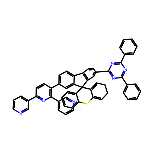 C1=C2Sc3ccccc3C3(C2=CCC1)c1cc(-c2nc(-c4ccccc4)nc(-c4ccccc4)n2)ccc1-c1ccc(-c2ccc(-c4cccnc4)nc2-c2cccnc2)cc13